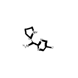 NC(c1ncc(Cl)cn1)[C@@H]1CCCN1